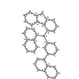 c1cc(-c2cccc3ccccc23)cc(N(c2cccc3ccccc23)c2cccc3oc4ccccc4c23)c1